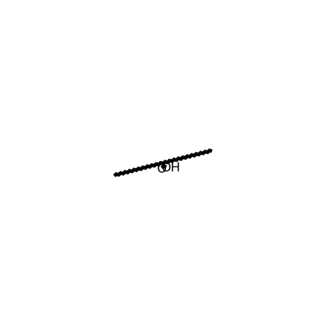 CCCCCCCCCCCCCCCCCCCCCCC(CCCCCCCCCCCCCCCCCCCCCC)C(=O)O